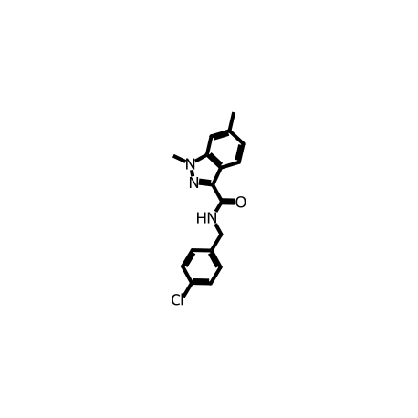 Cc1ccc2c(C(=O)NCc3ccc(Cl)cc3)nn(C)c2c1